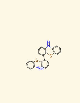 c1ccc2c(c1)Nc1cccc(-c3cccc4c3Sc3ccccc3N4)c1S2